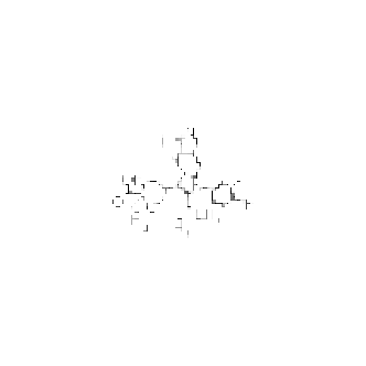 CC(C)c1c(C2CC[C@](C)(C(=O)O)OC2)c2nc3[nH]ncc3cc2n1-c1ccc(F)c(F)c1